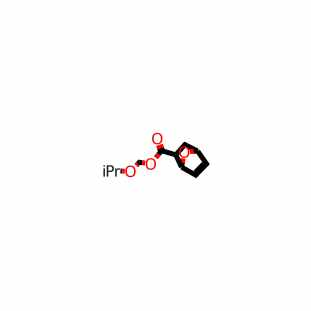 CC(C)OCOC(=O)C1CC2C=CC1O2